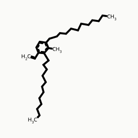 C=Cc1ccc(CCCCCCCCCCCC)c(C)c1CCCCCCCCCCCC